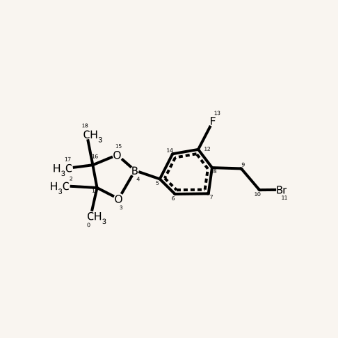 CC1(C)OB(c2ccc(CCBr)c(F)c2)OC1(C)C